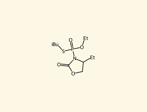 CCOP(=O)(SC(C)CC)N1C(=O)OCC1CC